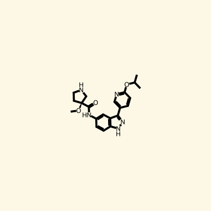 CO[C@@]1(C(=O)Nc2ccc3[nH]nc(-c4ccc(OC(C)C)nc4)c3c2)CCNC1